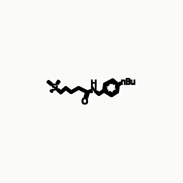 CCCCc1ccc(CNC(=O)CCCC[Si](C)(C)C)cc1